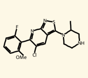 COc1cccc(F)c1-c1nc2nsc(N3CCNCC3C)c2cc1Cl